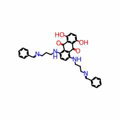 O=C1c2c(O)ccc(O)c2C(=O)c2c(NCCCN=Cc3ccccc3)ccc(NCCCN=Cc3ccccc3)c21